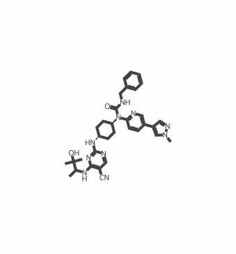 CC(Nc1nc(N[C@H]2CC[C@H](N(C(=O)NCc3ccccc3)c3ccc(-c4cnn(C)c4)cn3)CC2)ncc1C#N)C(C)(C)O